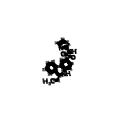 CC[C@H](Nc1ccc(S(=O)(=O)Nc2nccs2)cc1)c1ccccc1